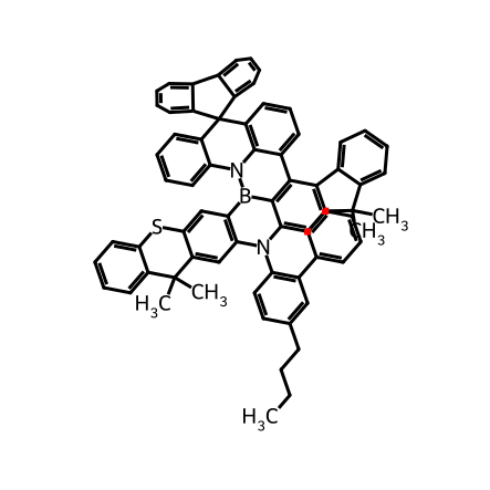 CCCCc1ccc(N2c3cc4c(cc3B3c5c2cc2c(c5-c5cccc6c5N3c3ccccc3C63c5ccccc5-c5ccccc53)-c3ccccc3C2(C)C)Sc2ccccc2C4(C)C)c(-c2ccccc2)c1